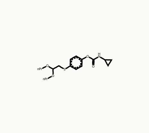 CCCOC(CSc1ccc(OC(=O)NC2CC2)cc1)OCCC